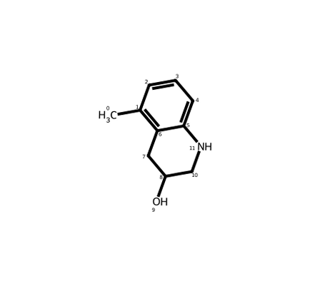 Cc1cccc2c1CC(O)CN2